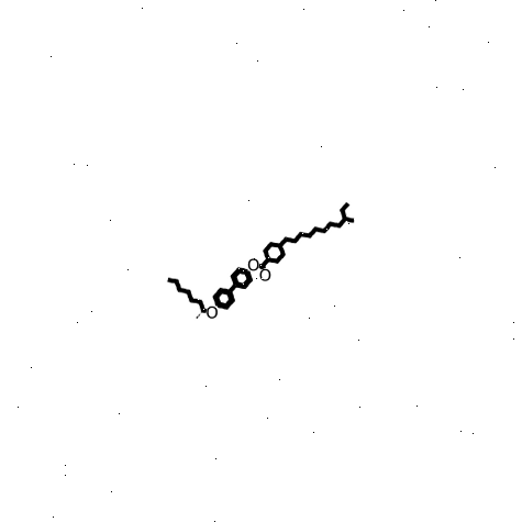 CCCCCC[C@@H](C)Oc1ccc(-c2ccc(OC(=O)C3CCC(CCCCCCCCC(C)CC)CC3)cc2)cc1